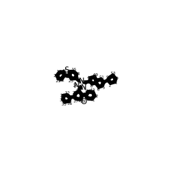 c1ccc(-c2ccc3cc(-c4nc(-c5ccc6sc7ccccc7c6c5)nc(-c5cc(-c6ccccc6)cc6oc7ccccc7c56)n4)ccc3c2)cc1